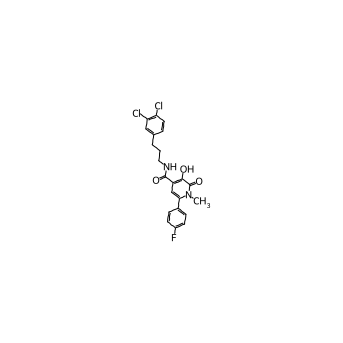 Cn1c(-c2ccc(F)cc2)cc(C(=O)NCCCc2ccc(Cl)c(Cl)c2)c(O)c1=O